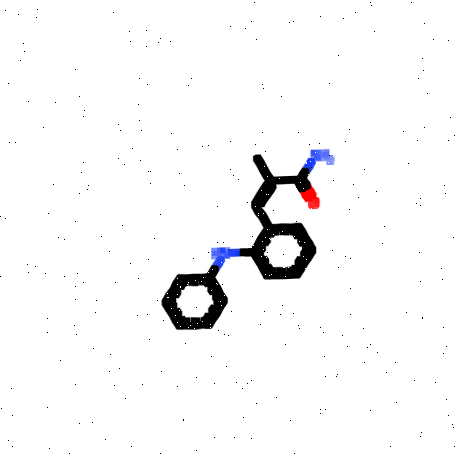 CC(=Cc1ccccc1Nc1ccccc1)C(N)=O